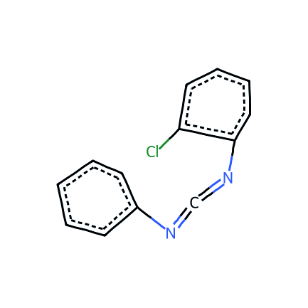 Clc1ccccc1N=C=Nc1ccccc1